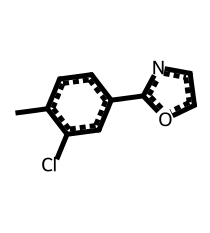 Cc1ccc(-c2ncco2)cc1Cl